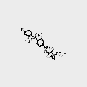 CC(C#N)(c1ccc(F)cc1)c1ccc(NN=C(C#N)C(=O)NC(=O)O)cc1F